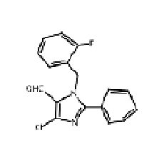 O=Cc1c(Cl)nc(-c2ccccc2)n1Cc1ccccc1F